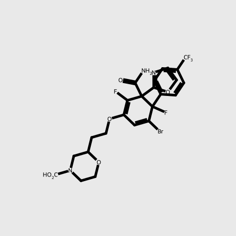 NC(=O)C1(c2ncco2)C(F)=C(OCCC2CN(C(=O)O)CCO2)C=C(Br)C1(F)c1ccc(C(F)(F)F)cc1